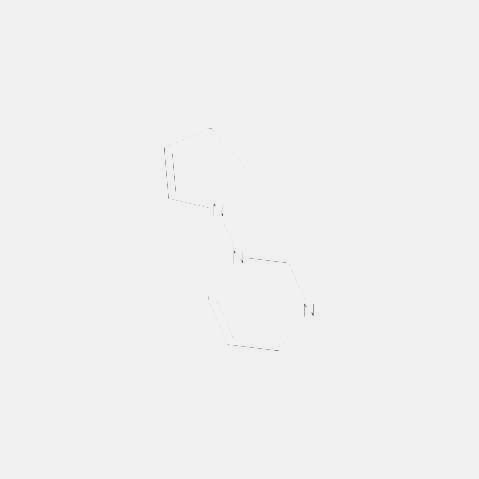 C1=CN(N2C=CCC2)CN=C1